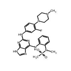 CN1CCN(c2ccc(Nc3nc(Nc4ccccc4N(C)S(C)(=O)=O)c4nc[nH]c4n3)cc2F)CC1